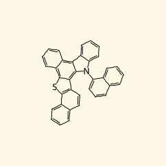 c1ccc2c(-n3c4ccccc4c4c5ccccc5c5sc6c7ccccc7ccc6c5c43)cccc2c1